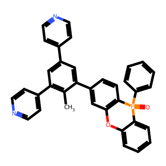 Cc1c(-c2ccncc2)cc(-c2ccncc2)cc1-c1ccc2c(c1)Oc1ccccc1P2(=O)c1ccccc1